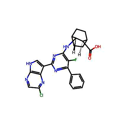 O=C(O)[C@@H]1C2CCC(CC2)[C@H]1Nc1nc(-c2c[nH]c3ncc(Cl)nc23)nc(-c2ccccc2)c1F